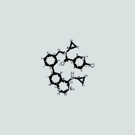 O=C(c1ccc(Cl)nc1)N(Cc1cccc(-c2ccc3ncnc(NC4CC4)c3c2)c1)C1CC1